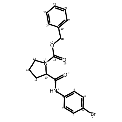 O=C(Nc1ccc(Br)cc1)C1CCCN1C(=O)OCc1ccccc1